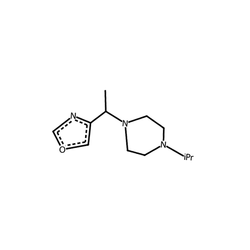 CC(C)N1CCN(C(C)c2cocn2)CC1